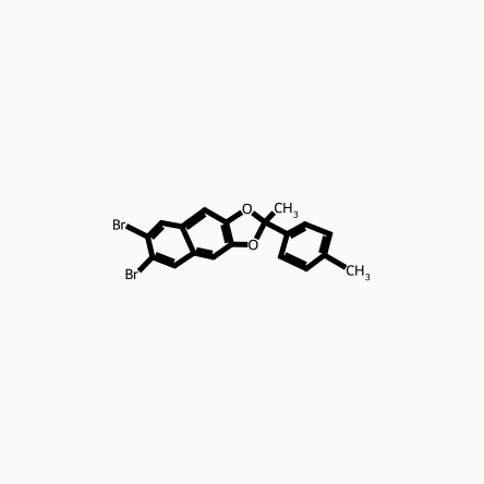 Cc1ccc(C2(C)Oc3cc4cc(Br)c(Br)cc4cc3O2)cc1